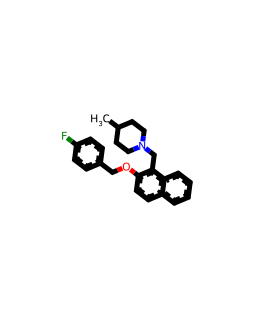 CC1CCN(Cc2c(OCc3ccc(F)cc3)ccc3ccccc23)CC1